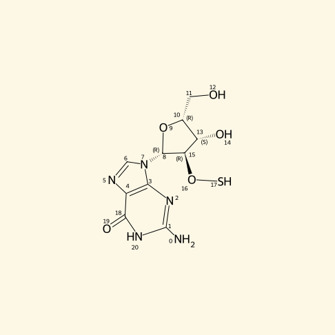 Nc1nc2c(ncn2[C@@H]2O[C@H](CO)[C@H](O)[C@H]2OS)c(=O)[nH]1